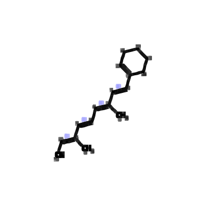 CC(/C=C/C=C(C)/C=C/C1=CCCCC1)=C\C#N